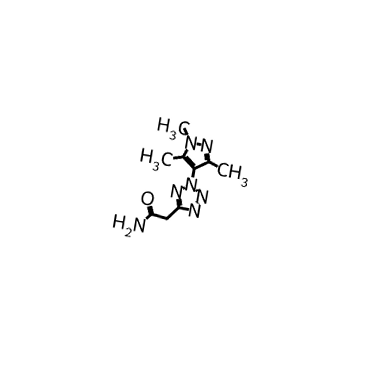 Cc1nn(C)c(C)c1-n1nnc(CC(N)=O)n1